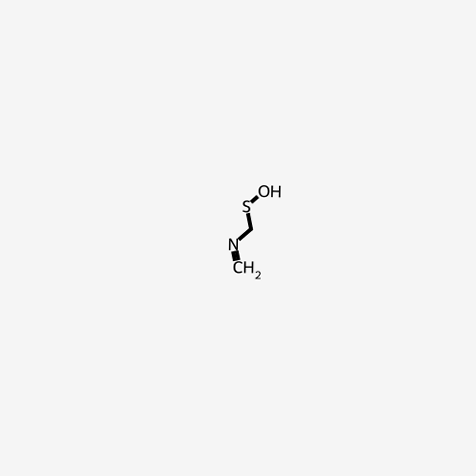 C=NCSO